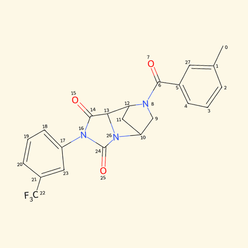 Cc1cccc(C(=O)N2CC3CC2C2C(=O)N(c4cccc(C(F)(F)F)c4)C(=O)N32)c1